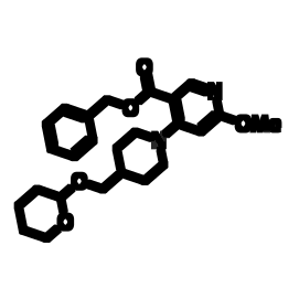 COc1cc(N2CCC(COC3CCCCO3)CC2)c(C(=O)OCc2ccccc2)cn1